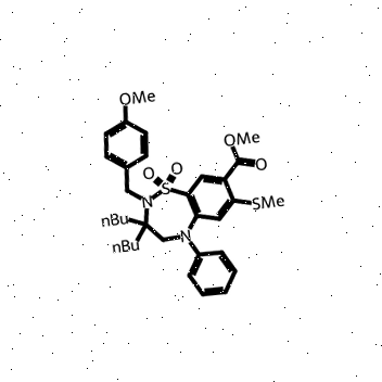 CCCCC1(CCCC)CN(c2ccccc2)c2cc(SC)c(C(=O)OC)cc2S(=O)(=O)N1Cc1ccc(OC)cc1